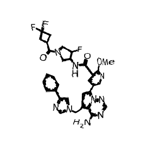 COc1ncc(-c2cc(Cn3cnc(-c4ccccc4)c3)c3c(N)ncnn23)cc1C(=O)NC1CN(C(=O)C2CC(F)(F)C2)CC1F